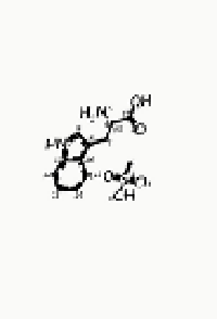 CS(=O)(=O)O.N[C@@H](Cc1c[nH]c2ccccc12)C(=O)O